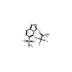 NS(=O)(=O)c1ccc2cncn2c1.O=C(O)C(F)(F)F